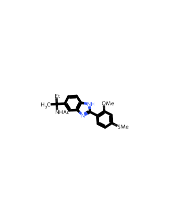 CCC(C)(NC(C)=O)c1ccc2[nH]c(-c3ccc(SC)cc3OC)nc2c1